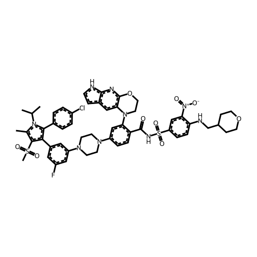 Cc1c(S(C)(=O)=O)c(-c2cc(F)cc(N3CCN(c4ccc(C(=O)NS(=O)(=O)c5ccc(NCC6CCOCC6)c([N+](=O)[O-])c5)c(N5CCOc6nc7[nH]ccc7cc65)c4)CC3)c2)c(-c2ccc(Cl)cc2)n1C(C)C